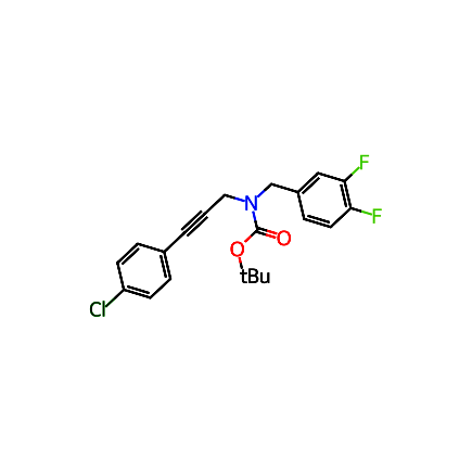 CC(C)(C)OC(=O)N(CC#Cc1ccc(Cl)cc1)Cc1ccc(F)c(F)c1